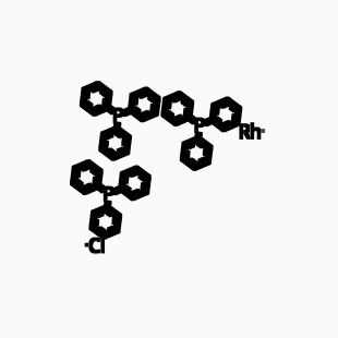 [Cl].[Rh].c1ccc(P(c2ccccc2)c2ccccc2)cc1.c1ccc(P(c2ccccc2)c2ccccc2)cc1.c1ccc(P(c2ccccc2)c2ccccc2)cc1